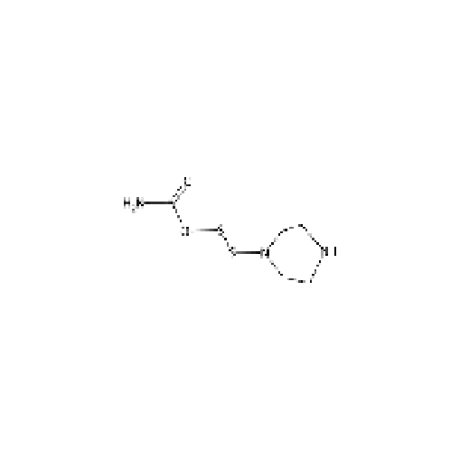 NC(=O)OSSN1CCNCC1